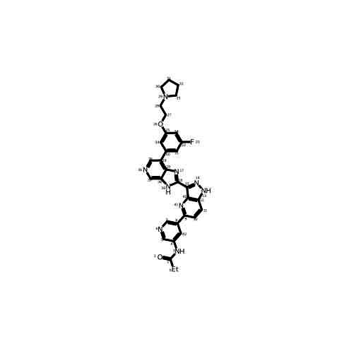 CCC(=O)Nc1cncc(-c2ccc3[nH]nc(-c4nc5c(-c6cc(F)cc(OCCN7CCCC7)c6)cncc5[nH]4)c3n2)c1